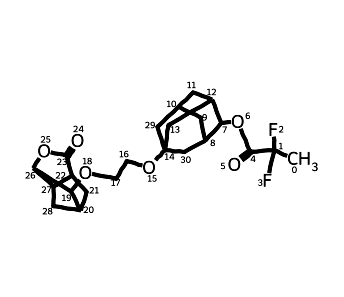 CC(F)(F)C(=O)OC1C2CC3CC1CC(OCCOC1C4CC5C(=O)OC1C5C4)(C3)C2